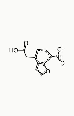 O=C(O)Cc1ccc([N+](=O)[O-])c2occc12